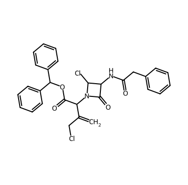 C=C(CCl)C(C(=O)OC(c1ccccc1)c1ccccc1)N1C(=O)C(NC(=O)Cc2ccccc2)C1Cl